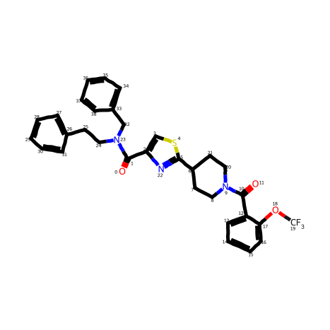 O=C(c1csc(C2CCN(C(=O)c3ccccc3OC(F)(F)F)CC2)n1)N(CCc1ccccc1)Cc1ccccc1